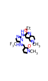 CCOc1nc2c(cc1Nc1ncc(C(F)(F)F)c(NCc3cccn(C)c3=O)n1)CN(C)CC2